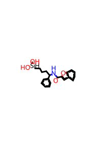 O=C(NC(CCCC[SiH](O)O)c1ccccc1)c1cc2ccccc2o1